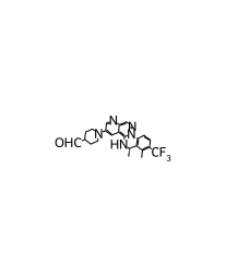 Cc1c([C@@H](C)Nc2nncc3ncc(N4CCC(C=O)CC4)cc23)cccc1C(F)(F)F